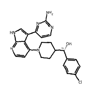 Nc1nccc(-c2c[nH]c3nccc(N4CCC([C@H](O)c5ccc(Cl)cc5)CC4)c23)n1